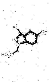 CC(=O)c1nn(CC(=O)O)c2ccc(O)cc12